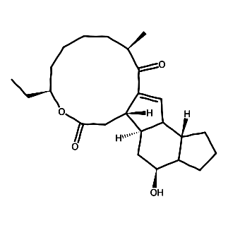 CC[C@H]1CCCC[C@@H](C)C(=O)C2=CC3[C@@H]4CCCC4[C@@H](O)C[C@H]3[C@@H]2CC(=O)O1